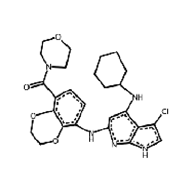 O=C(c1ccc(Nc2cc(NC3CCCCC3)c3c(Cl)c[nH]c3n2)c2c1OCCO2)N1CCOCC1